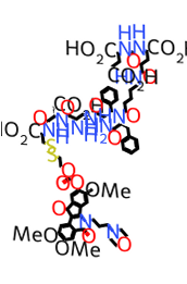 COc1cc2c3c(n(CCCN4CCOCC4)c(=O)c2cc1OC)-c1cc(OC)c(OC(=O)OCCSSC[C@H](NC(=O)[C@H](CC(=O)O)NC(=O)[C@@H](N)CNC(=O)[C@H](Cc2ccccc2)NC(=O)[C@H](Cc2ccccc2)NC(=O)CCCCNC(=O)CC[C@H](NC(=O)N[C@@H](CCC(=O)O)C(=O)O)C(=O)O)C(=O)O)cc1C3=O